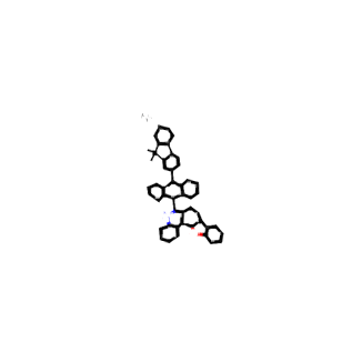 CC1(C)c2cc(C#N)ccc2-c2ccc(-c3c4ccccc4c(-c4nc5ccccc5c5c4ccc4c6ccccc6oc45)c4ccccc34)cc21